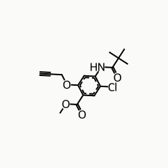 C#CCOc1cc(NC(=O)C(C)(C)C)c(Cl)cc1C(=O)OC